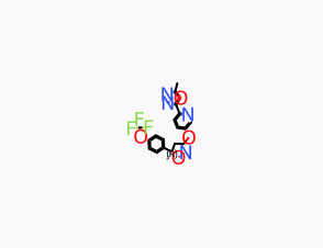 Cc1nnc(-c2ccc(OC3=NO[C@@](C)(c4ccc(OC(F)(F)F)cc4)C3)cn2)o1